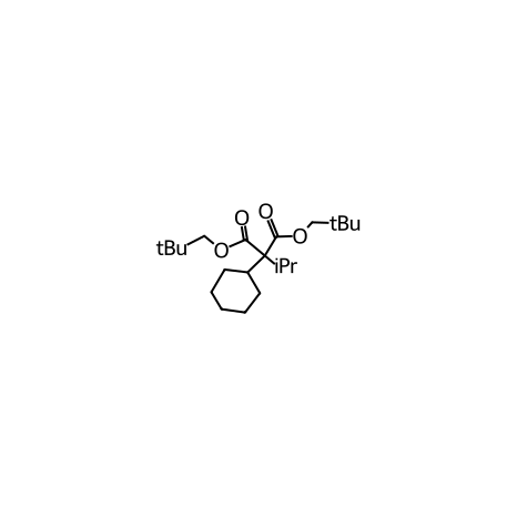 CC(C)C(C(=O)OCC(C)(C)C)(C(=O)OCC(C)(C)C)C1CCCCC1